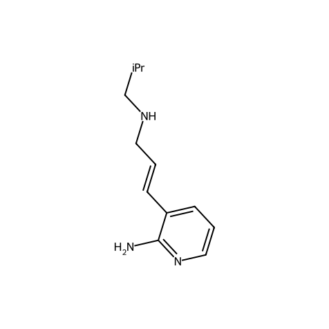 CC(C)CNC/C=C/c1cccnc1N